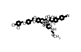 COCCNc1ccc(S(=O)(=O)N2Cc3cc4c(cc3CC2C(=O)NC(Cc2ccc(-c3ccc(C#N)cc3)cc2)C(=O)O)OCC(c2ccc(OCc3ccc(Cl)c(Cl)c3)cc2)O4)c(C)n1